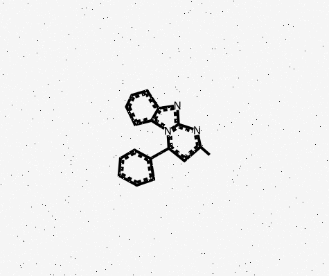 Cc1cc(-c2ccccc2)n2c(n1)nc1ccccc12